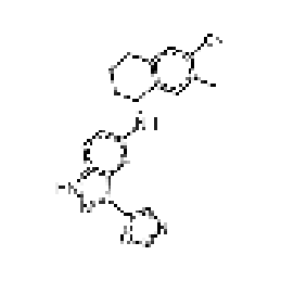 Cc1cc2c(cc1C#N)CCC[C@H]2Nc1ccc2[nH]nc(-c3cnco3)c2c1